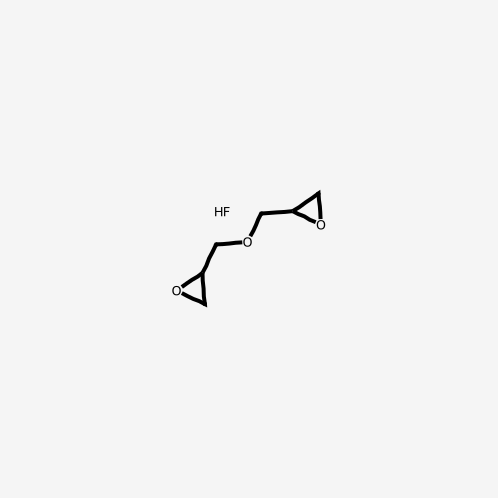 C(OCC1CO1)C1CO1.F